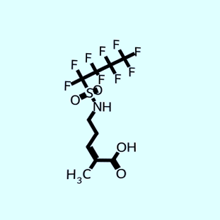 CC(=CCCNS(=O)(=O)C(F)(F)C(F)(F)C(F)(F)C(F)(F)F)C(=O)O